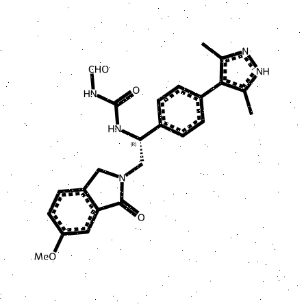 COc1ccc2c(c1)C(=O)N(C[C@H](NC(=O)NC=O)c1ccc(-c3c(C)n[nH]c3C)cc1)C2